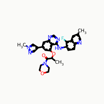 Cc1cnc2ccc(Nc3ncnc4cc(-c5cnn(C)c5)cc(OC(C)C(=O)N5CCOCC5)c34)c(F)c2c1